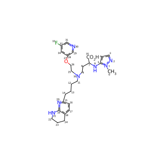 Cn1nccc1NC(CCN(CCCCc1ccc2c(n1)NCCC2)CCOc1cncc(F)c1)C(=O)O